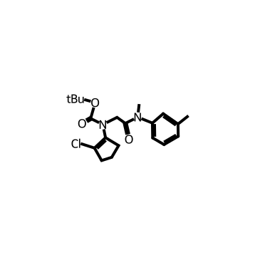 Cc1cccc(N(C)C(=O)CN(C(=O)OC(C)(C)C)C2=C(Cl)CCC2)c1